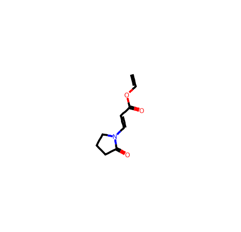 C=COC(=O)C=CN1CCCC1=O